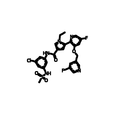 CCn1cc(C(=O)Nc2cc(Cl)cc(NS(C)(=O)=O)c2)cc1-c1ncc(F)cc1OCc1cncc(F)c1